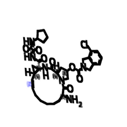 N[C@H]1CCCCC/C=C\[C@@H]2C[C@@]2(C(=O)NS(=O)(=O)NC2CCCC2)NC(=O)[C@@H]2C[C@@H](OC(=O)N3Cc4cccc(Cl)c4C3)CN2C1=O